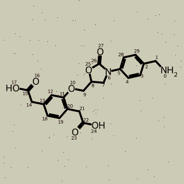 NCc1ccc(N2CC(COc3cc(CC(=O)O)ccc3CC(=O)O)OC2=O)cc1